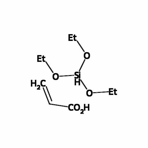 C=CC(=O)O.CCO[SiH](OCC)OCC